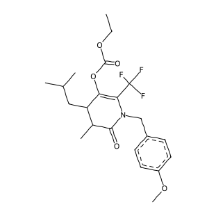 CCOC(=O)OC1=C(C(F)(F)F)N(Cc2ccc(OC)cc2)C(=O)C(C)C1CC(C)C